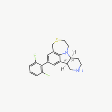 Fc1cccc(F)c1-c1cc2c3c(c1)[C@@H]1CNCC[C@@H]1N3CCSC2